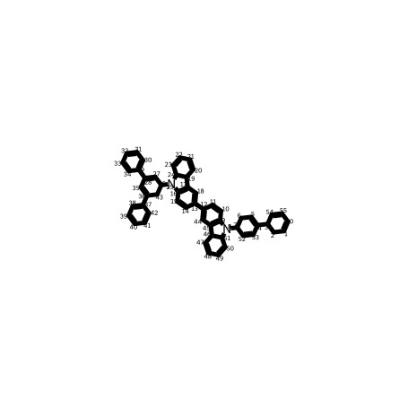 C1=CCC(C2=CCC(N3c4ccc(-c5ccc6c(c5)C5C=CC=CC5N6C5C=C(c6ccccc6)C=C(c6ccccc6)C5)cc4C4C=CC=CC43)C=C2)C=C1